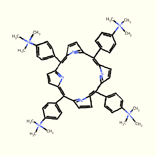 C[N+](C)(C)c1ccc(C2=C3C=CC(=N3)C(c3ccc([N+](C)(C)C)cc3)=C3C=CC(=N3)C(c3ccc([N+](C)(C)C)cc3)=C3C=CC(=N3)C(c3ccc([N+](C)(C)C)cc3)=C3C=CC2=N3)cc1